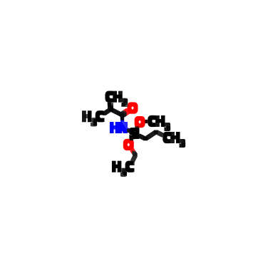 C=C(C)C(=O)N[Si](CCC)(OC)OCC